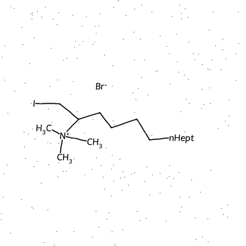 CCCCCCCCCCCC(CI)[N+](C)(C)C.[Br-]